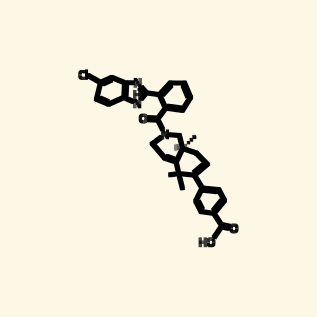 CC1(C)C(c2ccc(C(=O)O)cc2)=CC[C@]2(C)CN(C(=O)c3ccccc3-c3nc4cc(Cl)ccc4[nH]3)CC=C12